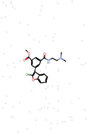 COC(=O)c1cc(C(=O)NCCN(C)C)cc(-c2c(Cl)oc3ccccc23)c1